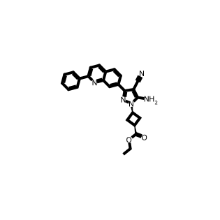 CCOC(=O)[C@H]1C[C@@H](n2nc(-c3ccc4ccc(-c5ccccc5)nc4c3)c(C#N)c2N)C1